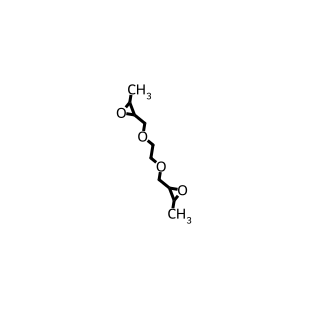 CC1OC1COCCOCC1OC1C